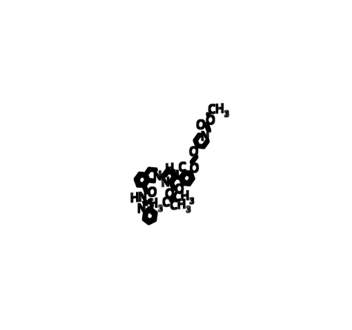 CCOC(=O)CN1CCC(OCCOc2cccc(-c3ccc(N4CCc5cccc(C(=O)Nc6nc7ccccc7s6)c5C4)nc3C(=O)OC(C)(C)C)c2C)CC1